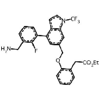 CCOC(=O)Cc1ccccc1OCc1cc(-c2cccc(CN)c2F)c2ccn(C(F)(F)F)c2c1